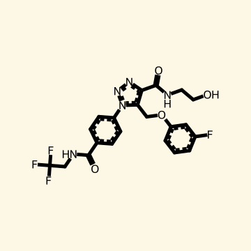 O=C(NCC(F)(F)F)c1ccc(-n2nnc(C(=O)NCCO)c2COc2cccc(F)c2)cc1